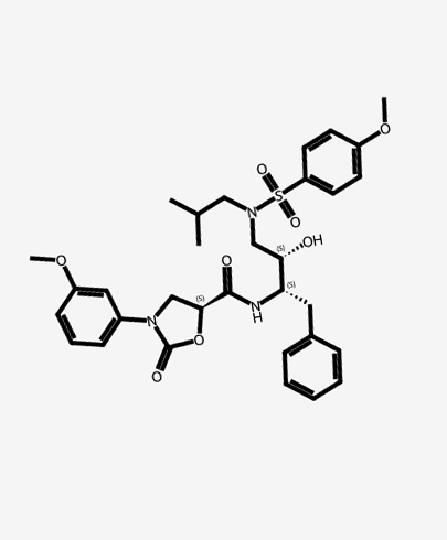 COc1ccc(S(=O)(=O)N(CC(C)C)C[C@H](O)[C@H](Cc2ccccc2)NC(=O)[C@@H]2CN(c3cccc(OC)c3)C(=O)O2)cc1